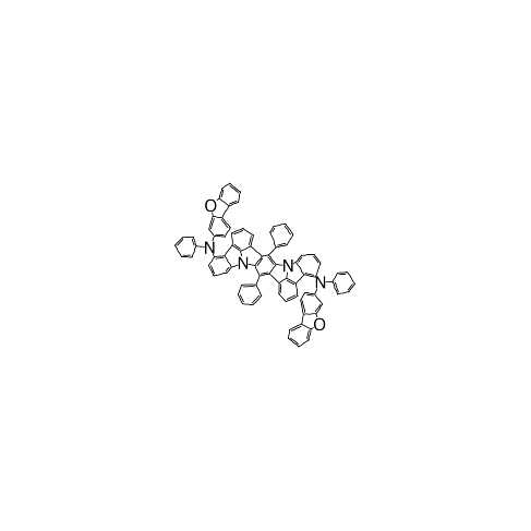 c1ccc(-c2c3c4cccc5c6c(N(c7ccccc7)c7ccc8c(c7)oc7ccccc78)cccc6n(c3c(-c3ccccc3)c3c6cccc7c8c(N(c9ccccc9)c9ccc%10c(c9)oc9ccccc9%10)cccc8n(c23)c76)c54)cc1